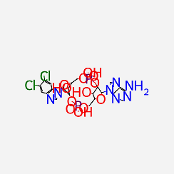 Nc1ncnc2c1ncn2C1OC2COP(=O)(O)OC3C(O)C(COP(=O)(O)OC1C2O)OC3n1cnc2cc(Cl)c(Cl)cc21